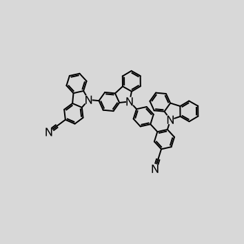 N#Cc1ccc(-n2c3ccccc3c3ccccc32)c(-c2ccc(-n3c4ccccc4c4cc(-n5c6ccccc6c6cc(C#N)ccc65)ccc43)cc2)c1